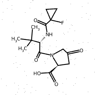 CC(C)(C)[C@H](NC(=O)C1(F)CC1)C(=O)N1CC(=O)C[C@H]1C(=O)O